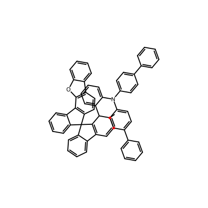 CC1C=CC2=C(C1c1ccccc1N(c1ccc(-c3ccccc3)cc1)c1ccc(-c3ccccc3)cc1)C1(c3ccccc32)c2ccccc2-c2c1ccc1c2oc2ccccc21